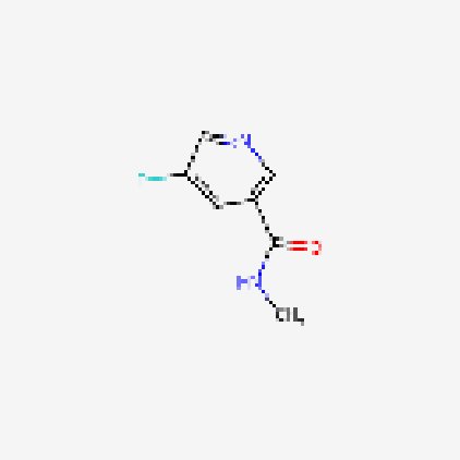 CNC(=O)c1[c]c(F)cnc1